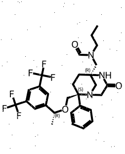 CCCN(C=O)C[C@]12CC[C@@](CO[C@H](C)c3cc(C(F)(F)F)cc(C(F)(F)F)c3)(c3ccccc3)N(CC(=O)N1)C2